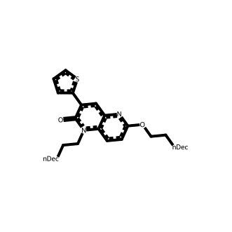 CCCCCCCCCCCCOc1ccc2c(cc(-c3cccs3)c(=O)n2CCCCCCCCCCCC)n1